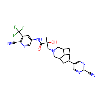 CC(O)(CN1CC2CC(c3cnc(C#N)nc3)C3CC(C1)C23)C(=O)Nc1cnc(C#N)c(C(F)(F)F)c1